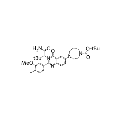 COc1cc(-c2nc3ccc(N4CCCN(C(=O)OC(C)(C)C)CC4)cc3c(=O)n2C(C(N)=O)C(C)(C)C)ccc1F